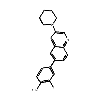 Nc1ccc(-c2ccc3ncc(N4CCCCC4)nc3c2)cc1F